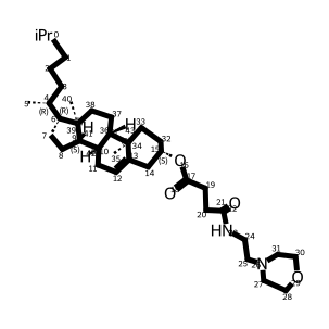 CC(C)CCC[C@@H](C)[C@H]1CC[C@H]2[C@@H]3CC=C4C[C@@H](OC(=O)CCC(=O)NCCN5CCOCC5)CC[C@]4(C)[C@H]3CC[C@]12C